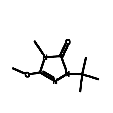 COc1nn(C(C)(C)C)c(=O)n1C